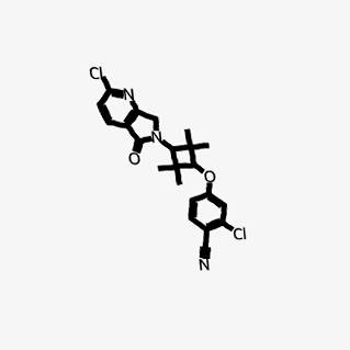 CC1(C)C(Oc2ccc(C#N)c(Cl)c2)C(C)(C)C1N1Cc2nc(Cl)ccc2C1=O